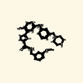 COc1cccc(CNC(=O)c2ccc(-c3nc(Nc4cccc(CN5CCOCC5)c4)ncc3F)s2)c1